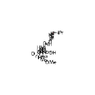 COc1ccc(C(NCCCCC(NC(=O)[C@H](Cc2ccc([N+](=O)[O-])cc2)NC(=O)CCC(=O)NCCCO[C@H]2CC[C@@]3(C)C(=CC[C@H]4[C@@H]5CC[C@H]([C@H](C)CCCC(C)C)[C@@]5(C)CC[C@@H]43)C2)C(=O)Nc2ccc(CO)cc2)(c2ccccc2)c2ccccc2)cc1